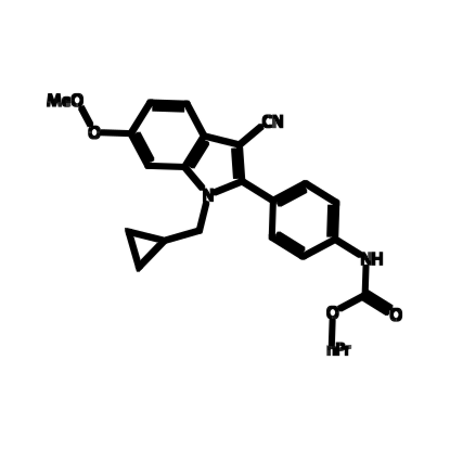 CCCOC(=O)Nc1ccc(-c2c(C#N)c3ccc(OOC)cc3n2CC2CC2)cc1